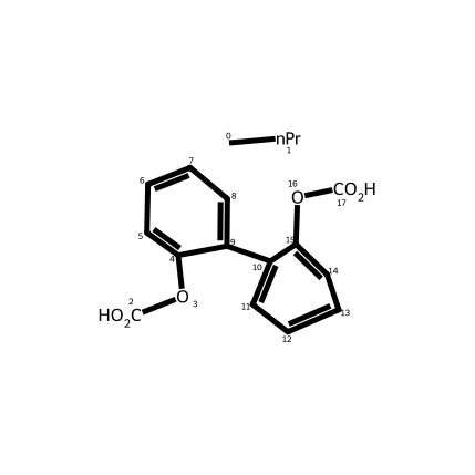 CCCC.O=C(O)Oc1ccccc1-c1ccccc1OC(=O)O